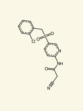 N#CCC(=O)Nc1ccc(S(=O)(=O)Cc2ccccc2Cl)cn1